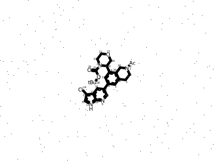 CC(=O)N1CCc2cc(-c3cnc4[nH]cc(Cl)c4c3)cc(C3COCCN3C(=O)OC(C)(C)C)c2C1